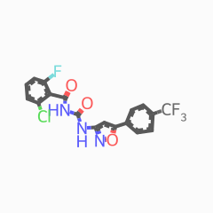 O=C(NC(=O)c1c(F)cccc1Cl)Nc1cc(-c2ccc(C(F)(F)F)cc2)on1